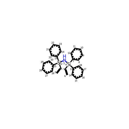 C=C[Si](N[Si](C=C)(c1ccccc1)c1ccccc1)(c1ccccc1)c1ccccc1